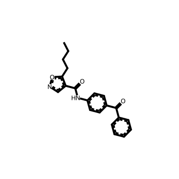 CCCCc1oncc1C(=O)Nc1ccc(C(=O)c2ccccc2)cc1